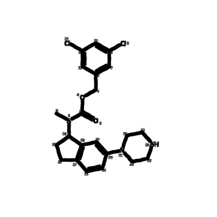 CN(C(=O)OCc1cc(Cl)cc(Cl)c1)C1CCc2ccc(N3CCNCC3)cc21